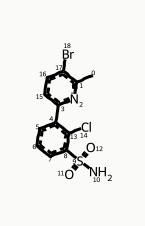 Cc1nc(-c2cccc(S(N)(=O)=O)c2Cl)ccc1Br